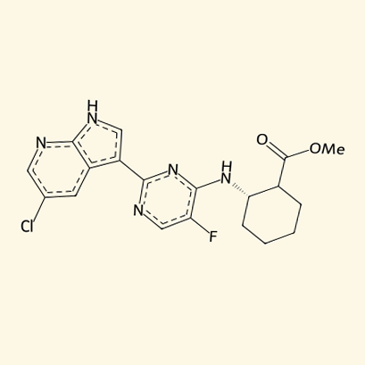 COC(=O)C1CCCC[C@@H]1Nc1nc(-c2c[nH]c3ncc(Cl)cc23)ncc1F